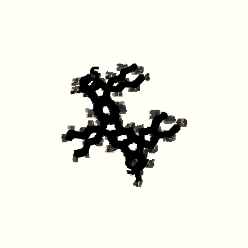 CCCCC1(CCCC)c2cc3c(cc2-c2cc4c(cc21)-c1ccsc1C4(CCCC)CCCC)C(CCCC)(CCCC)c1cc(C)sc1-3